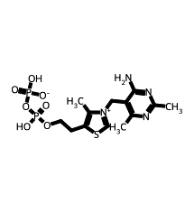 Cc1nc(C)c(C[n+]2csc(CCOP(=O)(O)OP(=O)([O-])O)c2C)c(N)n1